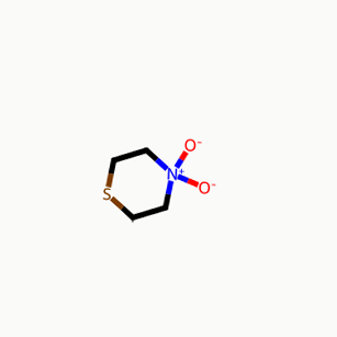 [O-][N+]1([O-])C[CH]SCC1